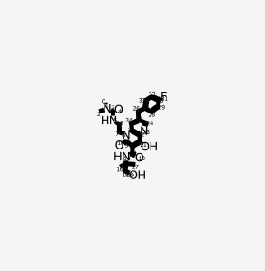 CN(C)C(=O)NCCn1c(=O)c(C(=O)NC(C)(C)CO)c(O)c2ncc(Cc3ccc(F)cc3)cc21